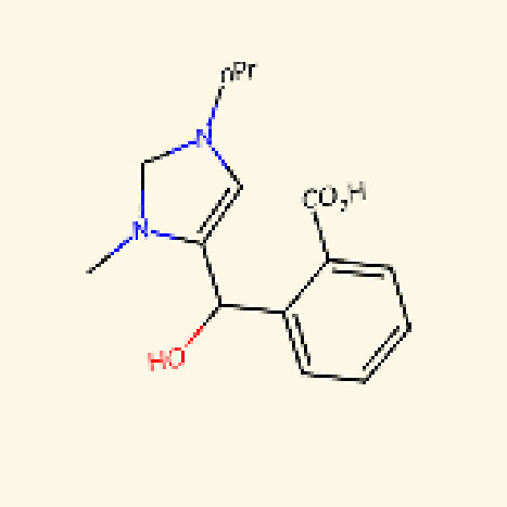 CCCN1C=C(C(O)c2ccccc2C(=O)O)N(C)C1